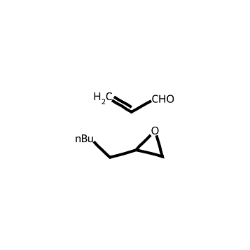 C=CC=O.CCCCCC1CO1